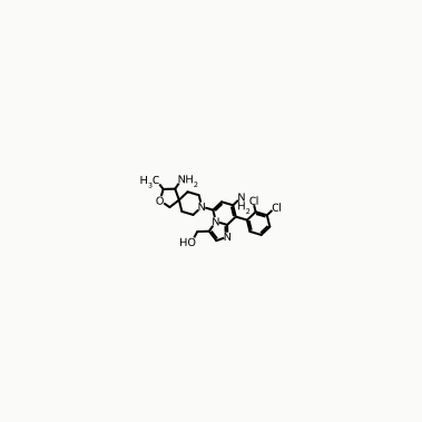 CC1OCC2(CCN(c3cc(N)c(-c4cccc(Cl)c4Cl)c4ncc(CO)n34)CC2)C1N